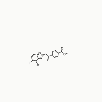 COC(=O)c1ccc(C(F)Cn2cc3c(Br)c(F)ccc3n2)cc1